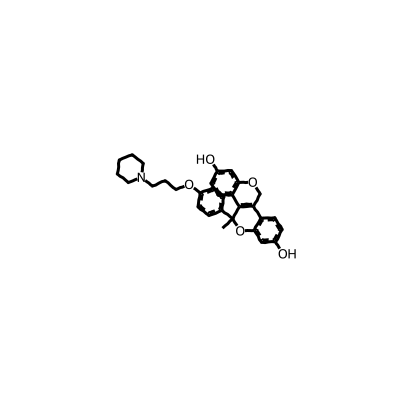 CC1(c2ccc(OCCCN3CCCCC3)cc2)Oc2cc(O)ccc2C2=C1c1ccc(O)cc1OC2